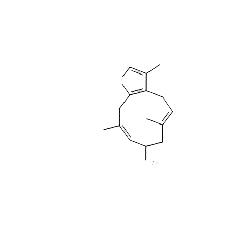 COC1/C=C(/C)Cc2occ(C)c2C/C=C(\C)C1